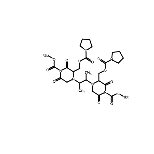 CC(C(C)N1CC(=O)N(C(=O)OC(C)(C)C)C(=O)C1COC(=O)N1CCCC1)N1CC(=O)N(C(=O)OC(C)(C)C)C(=O)C1COC(=O)N1CCCC1